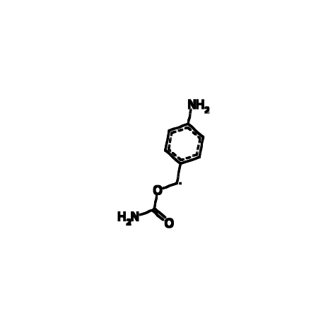 NC(=O)O[CH]c1ccc(N)cc1